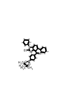 CCc1nc2c3c(-c4ccc(B5OC(C)(C)C(C)(C)O5)cc4)nc4ccccc4c3ccc2n1-c1ccccc1